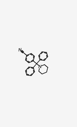 N#Cc1ccc(C(c2ccccc2)(c2ccccc2)N2CCCCC2)cc1